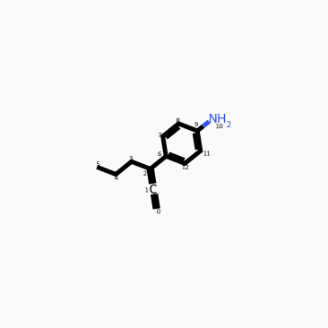 C=C=C(CCC)c1ccc(N)cc1